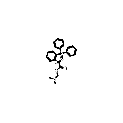 CN(C)COC(=O)C(=O)O[PH](c1ccccc1)(c1ccccc1)c1ccccc1